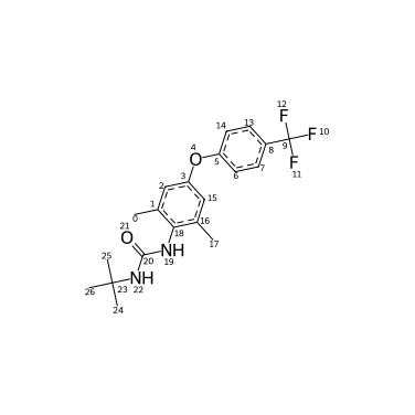 Cc1cc(Oc2ccc(C(F)(F)F)cc2)cc(C)c1NC(=O)NC(C)(C)C